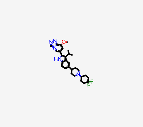 COc1cc(-c2[nH]c3ccc(C4CCN(C5CCC(F)(F)CC5)CC4)cc3c2C(C)C)cn2cnnc12